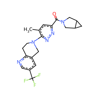 Cc1cc(C(=O)N2CC3CC3C2)nnc1N1CCc2ncc(C(F)(F)F)cc2C1